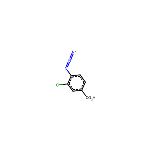 [N-]=[N+]=Nc1ccc(C(=O)O)cc1Cl